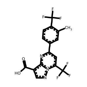 Cc1cc(-c2cc(C(F)(F)F)n3ncc(C(=O)O)c3n2)ccc1C(F)(F)F